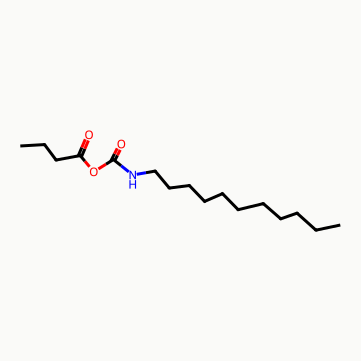 CCCCCCCCCCCNC(=O)OC(=O)CCC